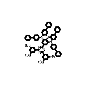 CC(C)(C)c1cc(-c2nc(-c3cc(C(C)(C)C)cc(C(C)(C)C)c3)nc(-c3cc4c5c(c3)N(c3ccc(-c6ccccc6)cc3)c3ccc(-c6ccccc6)cc3B5c3cc(-c5ccccc5)ccc3N4c3ccc(-c4ccccc4)cc3)n2)cc(C(C)(C)C)c1